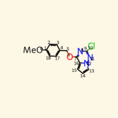 COc1ccc(COc2nc(Cl)nn3cccc23)cc1